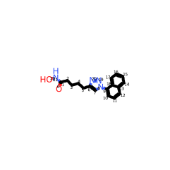 O=C(CCCCc1cn(-c2cccc3ccccc23)nn1)NO